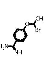 CC(Br)Oc1ccc(C(=N)N)cc1